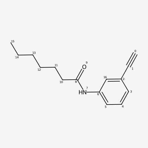 C#Cc1cccc(NC(=O)CCCCCC)c1